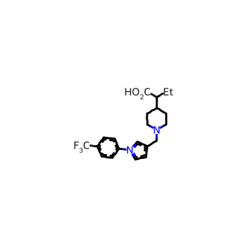 CCC(C(=O)O)C1CCN(Cc2ccn(-c3ccc(C(F)(F)F)cc3)c2)CC1